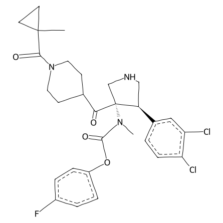 CN(C(=O)Oc1ccc(F)cc1)[C@]1(C(=O)C2CCN(C(=O)C3(C)CC3)CC2)CNC[C@H]1c1ccc(Cl)c(Cl)c1